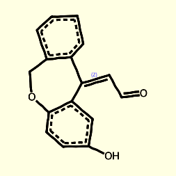 O=C/C=C1/c2ccccc2COc2ccc(O)cc21